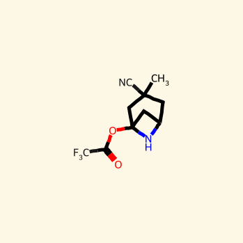 CC1(C#N)CC2CC(OC(=O)C(F)(F)F)(C1)N2